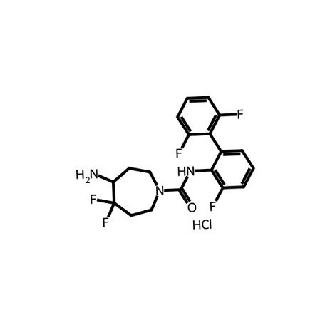 Cl.NC1CCN(C(=O)Nc2c(F)cccc2-c2c(F)cccc2F)CCC1(F)F